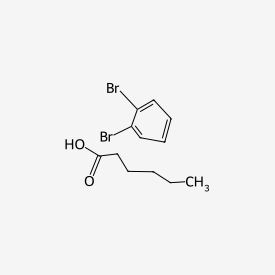 Brc1ccccc1Br.CCCCCC(=O)O